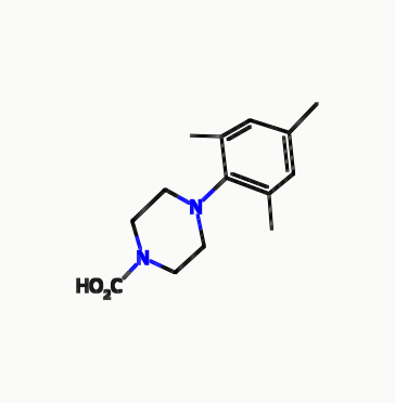 Cc1cc(C)c(N2CCN(C(=O)O)CC2)c(C)c1